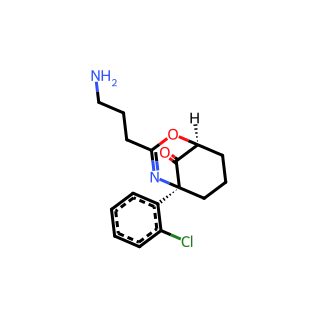 NCCCC1=N[C@]2(c3ccccc3Cl)CCC[C@H](O1)C2=O